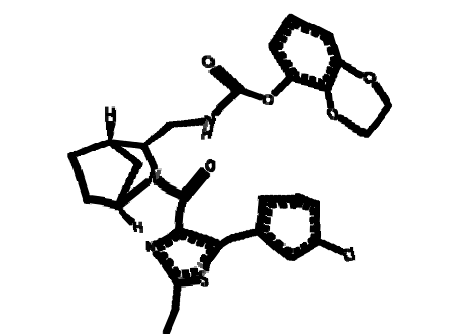 Cc1nc(C(=O)N2[C@@H]3CC[C@@H](C3)[C@H]2CNC(=O)Oc2cccc3c2OCCO3)c(-c2cccc(Cl)c2)s1